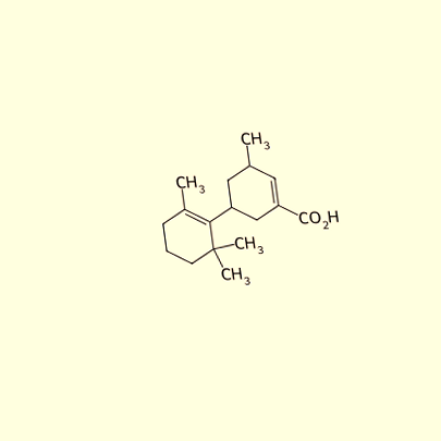 CC1=C(C2CC(C(=O)O)=CC(C)C2)C(C)(C)CCC1